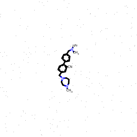 CCCN(C)Cc1ccc(-c2ccc(CN3CCCN(C)CC3)cc2C#N)cc1